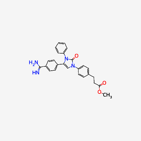 COC(=O)CCc1ccc(-n2cc(-c3ccc(C(=N)N)cc3)n(-c3ccccc3)c2=O)cc1